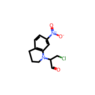 O=CC(CCl)N1CCCc2ccc([N+](=O)[O-])cc21